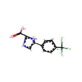 O=C(O)c1ncc(-c2ccc(C(F)(F)F)cc2)[nH]1